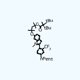 CCCCCc1ccc(-c2cc3ccc(OC(C)(C)CC(C)(C)OC(=O)C(C)(CC(C)(C)C)C(C)(C)C)cc3n2C)c(C(F)(F)F)c1